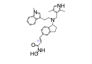 Cc1c[nH]c(C)c1CN(CCc1cn(C)c2ccccc12)C1CCc2cc(/C=C/C(=O)NO)ccc21